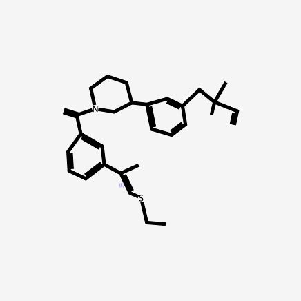 C=CC(C)(C)Cc1cccc(C2CCCN(C(=C)c3cccc(/C(C)=C/SCC)c3)C2)c1